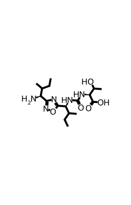 CCC(C)[C@H](N)c1noc([C@@H](NC(=O)N[C@H](C(=O)O)C(C)O)C(C)CC)n1